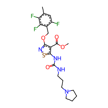 COC(=O)c1c(OCc2c(F)cc(C)c(F)c2F)nsc1NC(=O)NCCCN1CCCC1